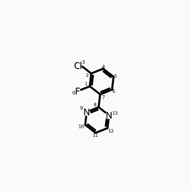 Fc1c(Cl)cccc1-c1ncccn1